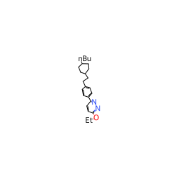 CCCCC1CCC(CCc2ccc(-c3ccc(OCC)nn3)cc2)CC1